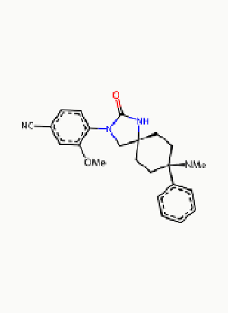 CN[C@]1(c2ccccc2)CC[C@@]2(CC1)CN(c1ccc(C#N)cc1OC)C(=O)N2